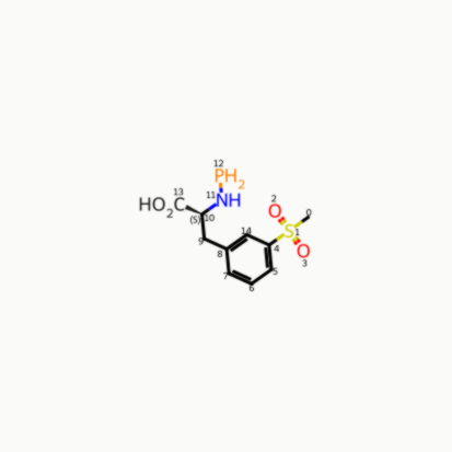 CS(=O)(=O)c1cccc(C[C@H](NP)C(=O)O)c1